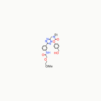 CCN(Cc1nnc(-c2cccc(NC(=O)COCCOC)c2)nn1)C(=O)Oc1ccc(CO)cc1